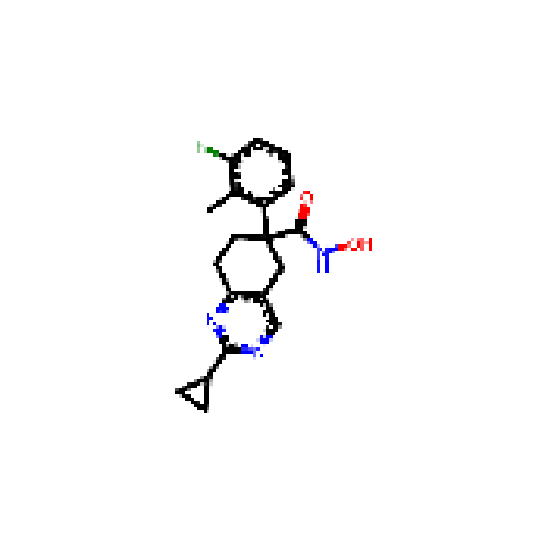 Cc1c(F)cccc1C1(C(=O)NO)CCc2nc(C3CC3)ncc2C1